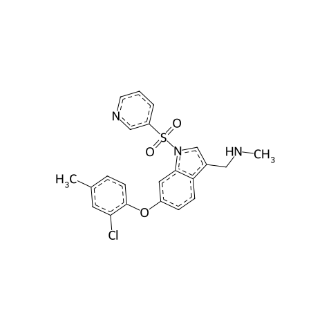 CNCc1cn(S(=O)(=O)c2cccnc2)c2cc(Oc3ccc(C)cc3Cl)ccc12